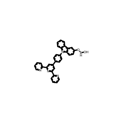 OBOc1ccc2c(c1)c1ccccc1n2-c1ccc(-c2cc(-c3ccccn3)nc(-c3ccccn3)c2)cc1